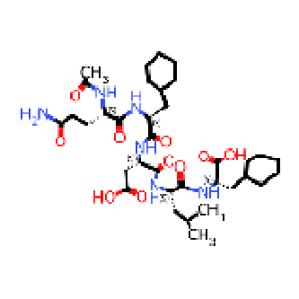 CC(=O)N[C@@H](CCC(N)=O)C(=O)N[C@@H](CC1CCCCC1)C(=O)N[C@@H](CC(=O)O)C(=O)N[C@@H](CC(C)C)C(=O)N[C@@H](CC1CCCCC1)C(=O)O